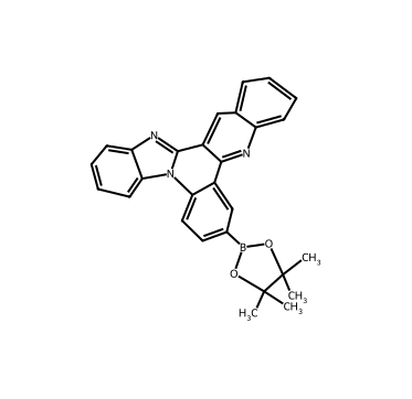 CC1(C)OB(c2ccc3c(c2)c2nc4ccccc4cc2c2nc4ccccc4n32)OC1(C)C